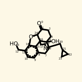 O=C1CCC2(O)C3Cc4ccc(CO)c5c4C2(CCN3CC2CC2)C1O5